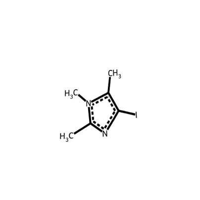 Cc1nc(I)c(C)n1C